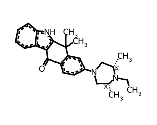 CCN1[C@H](C)CN(c2ccc3c(c2)C(C)(C)c2[nH]c4ccccc4c2C3=O)C[C@@H]1C